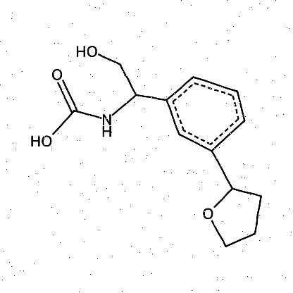 O=C(O)NC(CO)c1cccc(C2CCCO2)c1